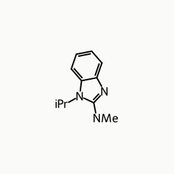 CNc1nc2ccccc2n1C(C)C